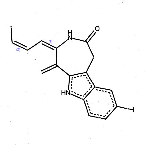 C=C1/C(=C\C=C/C)NC(=O)Cc2c1[nH]c1ccc(I)cc21